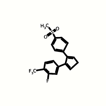 CS(=O)(=O)c1ccc(C2=CCC=C2c2ccc(C(F)(F)F)c(F)c2)cc1